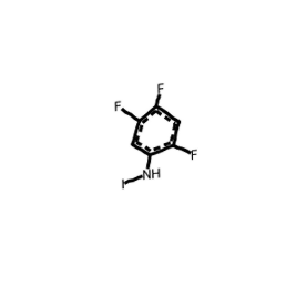 Fc1cc(F)c(NI)cc1F